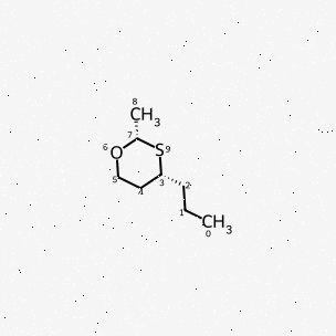 CCC[C@@H]1CCO[C@H](C)S1